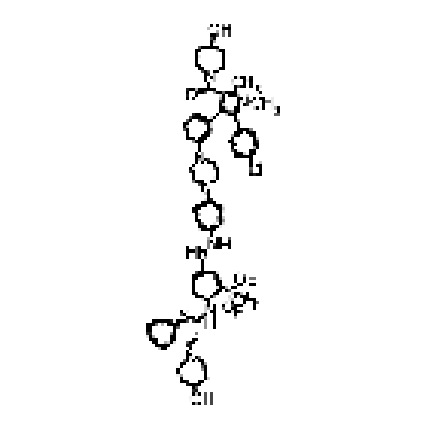 Cc1c(C(=O)N2CCC(O)CC2)c(C2=CCCC(N3CCN(c4ccc(NNC5=CCC(N[C@H](CCN6CCC(O)CC6)Sc6ccccc6)C(S(=O)(=O)C(F)(F)F)=C5)cc4)CC3)=C2)c(-c2ccc(Cl)cc2)n1C